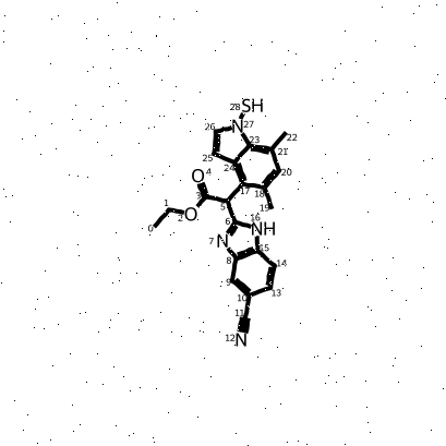 CCOC(=O)C(c1nc2cc(C#N)ccc2[nH]1)c1c(C)cc(C)c2c1ccn2S